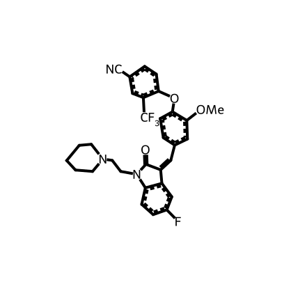 COc1cc(C=C2C(=O)N(CCN3CCCCC3)c3ccc(F)cc32)ccc1Oc1ccc(C#N)cc1C(F)(F)F